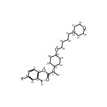 CN(C(=O)Oc1ccc(F)cc1F)C1CCC(OCCCCN2CCOCC2)CC1